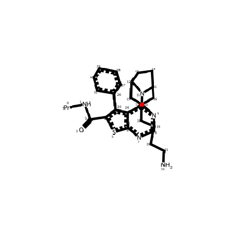 CC(C)NC(=O)c1sc2ncnc(N3C4CCC3CC(COCCN)C4)c2c1-c1ccccc1